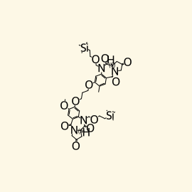 COc1cc2c(cc1OCCCOc1cc3c(cc1C)C(=O)N1CC(=O)C[C@H]1C(=O)N3COCC[Si](C)(C)C)N(COCC[Si](C)(C)C)C(=O)[C@@H]1CC(=O)CN1C2=O